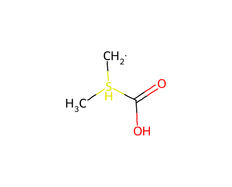 [CH2][SH](C)C(=O)O